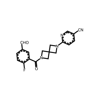 N#Cc1ccc(N2CC3(CN(C(=O)c4cc(C=O)ccc4F)C3)C2)nc1